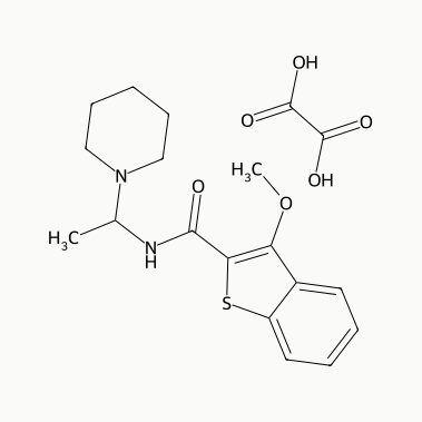 COc1c(C(=O)NC(C)N2CCCCC2)sc2ccccc12.O=C(O)C(=O)O